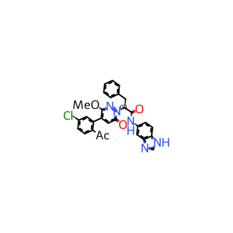 COc1nn([C@@H](Cc2ccccc2)C(=O)Nc2ccc3[nH]cnc3c2)c(=O)cc1-c1cc(Cl)ccc1C(C)=O